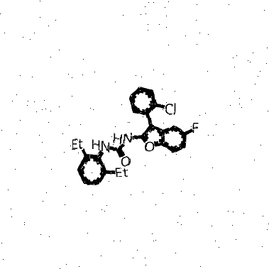 CCc1cccc(CC)c1NC(=O)Nc1oc2ccc(F)cc2c1-c1ccccc1Cl